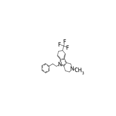 CN1CCc2c(c3c(n2CCc2ccccc2)=CCC(C(F)(F)F)C=3)C1